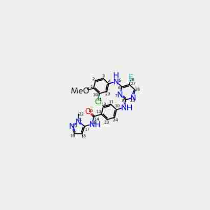 COc1ccc(Nc2nc(Nc3ccc(C(=O)Nc4ccnn4C)cc3)ncc2F)cc1Cl